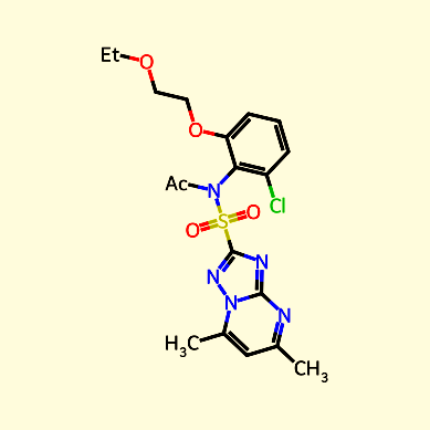 CCOCCOc1cccc(Cl)c1N(C(C)=O)S(=O)(=O)c1nc2nc(C)cc(C)n2n1